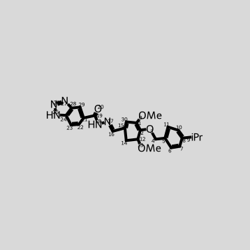 COC1=C(OCc2ccc(C(C)C)cc2)C(OC)CC(/C=N/NC(=O)c2ccc3[nH]nnc3c2)=C1